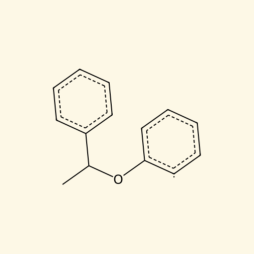 CC(Oc1[c]cccc1)c1ccccc1